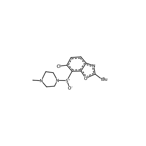 CN1CCN([S+]([O-])c2c(Cl)ccc3nc(C(C)(C)C)oc23)CC1